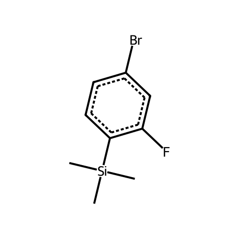 C[Si](C)(C)c1ccc(Br)cc1F